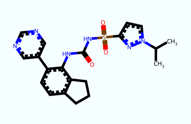 CC(C)n1ccc(S(=O)(=O)NC(=O)Nc2c(-c3cncnc3)ccc3c2CCC3)n1